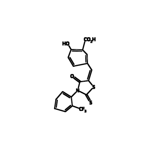 O=C(O)c1cc(C=C2SC(=S)N(c3ccccc3C(F)(F)F)C2=O)ccc1O